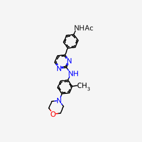 CC(=O)Nc1ccc(-c2ccnc(Nc3ccc(N4CCOCC4)cc3C)n2)cc1